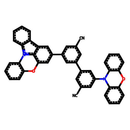 N#Cc1cc(-c2cc(C#N)cc(N3c4ccccc4Oc4ccccc43)c2)cc(-c2cc3c4c(c2)c2ccccc2n4-c2ccccc2O3)c1